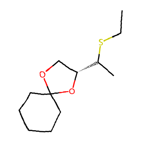 CCSC(C)[C@H]1COC2(CCCCC2)O1